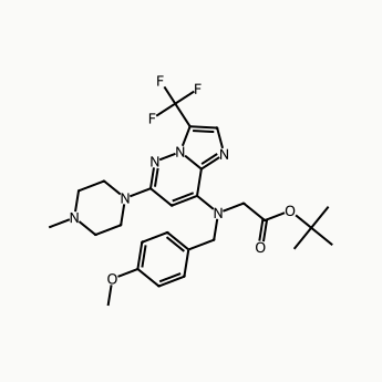 COc1ccc(CN(CC(=O)OC(C)(C)C)c2cc(N3CCN(C)CC3)nn3c(C(F)(F)F)cnc23)cc1